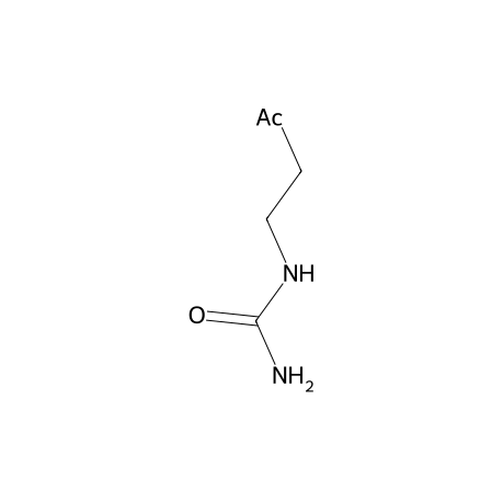 CC(=O)CCNC(N)=O